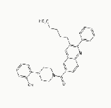 N#Cc1ccccc1N1CCN(C(=O)c2ccc3nc(-c4ccccc4)c(CCCCC(=O)O)cc3c2)CC1